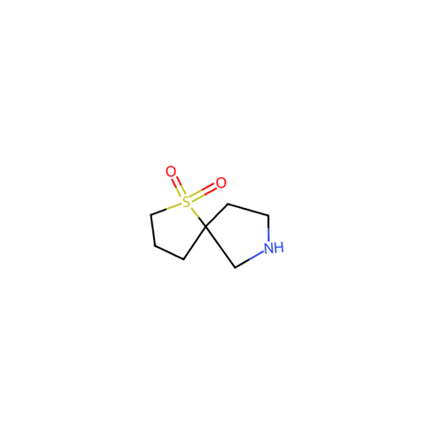 O=S1(=O)CCCC12CCNC2